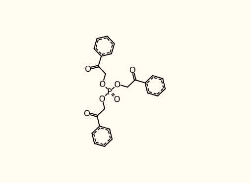 O=C(COP(=O)(OCC(=O)c1ccccc1)OCC(=O)c1ccccc1)c1ccccc1